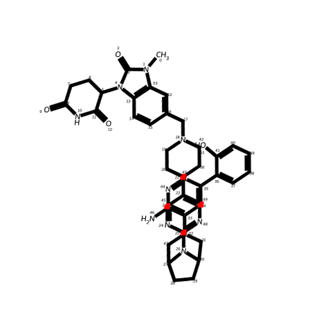 Cn1c(=O)n(C2CCC(=O)NC2=O)c2ccc(CN3CCC(c4cnc(N5C6CCC5CN(c5cc(-c7ccccc7O)nnc5N)C6)nc4)CC3)cc21